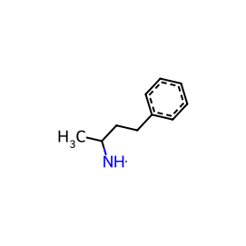 CC([NH])CCc1ccccc1